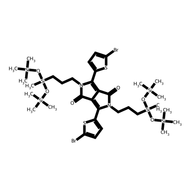 C[Si](C)(C)O[Si](C)(CCCN1C(=O)C2=C(c3ccc(Br)s3)N(CCC[Si](C)(O[Si](C)(C)C)O[Si](C)(C)C)C(=O)C2=C1c1ccc(Br)s1)O[Si](C)(C)C